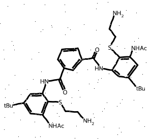 CC(=O)Nc1cc(C(C)(C)C)cc(NC(=O)c2cccc(C(=O)Nc3cc(C(C)(C)C)cc(NC(C)=O)c3SCCN)c2)c1SCCN